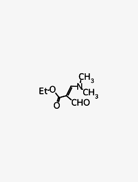 CCOC(=O)C(C=O)=CN(C)C